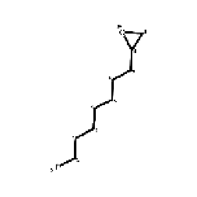 FCCCCCCCC1CO1